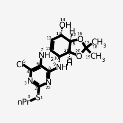 CCCSc1nc(Cl)c(N)c(N[C@@H]2C=C[C@H](O)[C@H]3OC(C)(C)O[C@H]32)n1